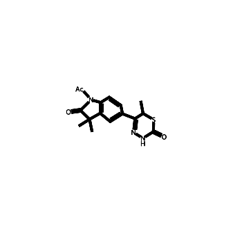 CC(=O)N1C(=O)C(C)(C)c2cc(C3=NNC(=O)SC3C)ccc21